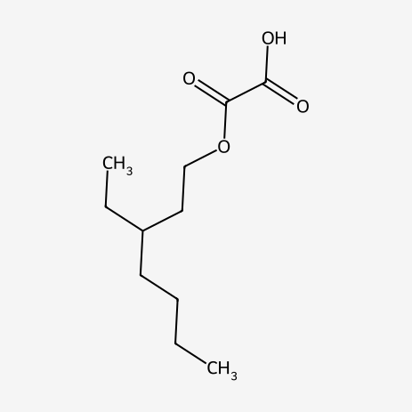 CCCCC(CC)CCOC(=O)C(=O)O